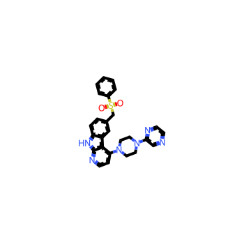 O=S(=O)(Cc1ccc2[nH]c3nccc(N4CCN(c5cnccn5)CC4)c3c2c1)c1ccccc1